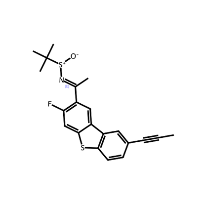 CC#Cc1ccc2sc3cc(F)c(/C(C)=N/[S+]([O-])C(C)(C)C)cc3c2c1